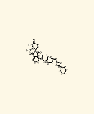 O=C1CC[C@@H](N2C(=O)c3cccc(NCc4ccc(CN5CC(N6CCOCC6)C5)cc4F)c3C2=O)C(O)N1